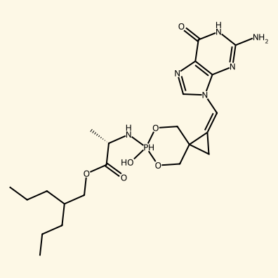 CCCC(CCC)COC(=O)[C@H](C)N[PH]1(O)OCC2(CO1)C/C2=C/n1cnc2c(=O)[nH]c(N)nc21